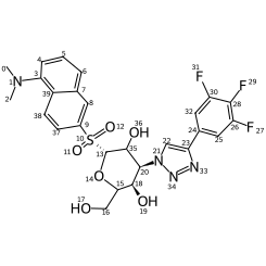 CN(C)c1cccc2cc(S(=O)(=O)[C@H]3OC(CO)[C@H](O)[C@H](n4cc(-c5cc(F)c(F)c(F)c5)nn4)C3O)ccc12